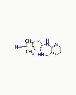 CC(C)(C#N)c1ccc2c(c1)NCc1cccnc1N2